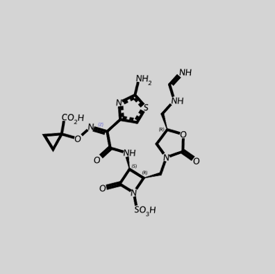 N=CNC[C@@H]1CN(C[C@@H]2[C@H](NC(=O)/C(=N\OC3(C(=O)O)CC3)c3csc(N)n3)C(=O)N2S(=O)(=O)O)C(=O)O1